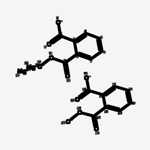 O=C([O-])c1ccccc1C(=O)O[O-].O=C([O-])c1ccccc1C(=O)O[O-].[Mg+2].[Mg+2]